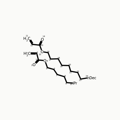 C=CC(=O)OCCCCCC(C)C.C=CC(=O)OCCCCCCCCCCCCCCCCCC